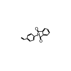 C=Cc1ccc(N2C(=O)c3ccccc3C2=O)cc1